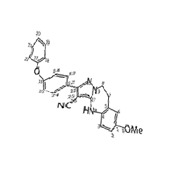 COc1ccc2c(c1)CCn1nc(-c3ccc(Oc4ccccc4)cc3)c(C#N)c1N2